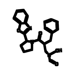 O=CN(O)CC(Cc1ccccc1)C(=O)N1CCCC1c1nc2ccccc2o1